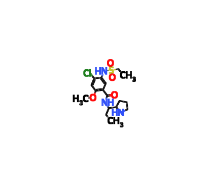 CCC(NC(=O)c1cc(NS(=O)(=O)CC)c(Cl)cc1OC)C1CCCN1